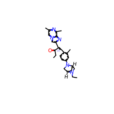 CCC(=O)/C(=C\c1ccc(N2C[C@@H]3C[C@H]2CN3CC)cc1C)c1cn2cc(C)nc(C)c2n1